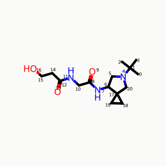 CC(C)(C)N1CC(NC(=O)CNC(=O)CCO)C2(CC2)C1